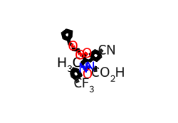 CC1=C(C(=O)OCCOCc2ccccc2)C(c2ccc(C#N)cc2)N(CC(=O)O)C(=O)N1c1cccc(C(F)(F)F)c1